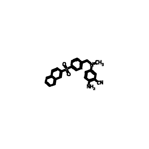 CN(Cc1ccc(S(=O)(=O)c2ccc3ccccc3c2)cc1)c1ccc(N)c(C#N)c1